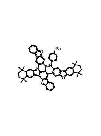 CC(C)(C)c1ccc(N2B3c4cc5oc6ccccc6c5cc4-n4c5cc6c(cc5c5c7sc8ccccc8c7c(c3c54)-c3cc4oc5cc7c(cc5c4cc32)C(C)(C)CCC7(C)C)C(C)(C)CCC6(C)C)cc1